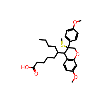 CCCCC(CCCCC(=O)O)C1c2ccc(OC)cc2OCC1(SC)c1ccc(OC)cc1